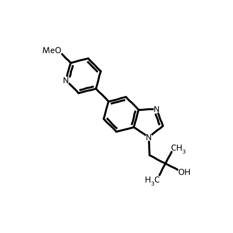 COc1ccc(-c2ccc3c(c2)ncn3CC(C)(C)O)cn1